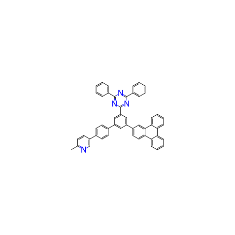 Cc1ccc(-c2ccc(-c3cc(-c4ccc5c6ccccc6c6ccccc6c5c4)cc(-c4nc(-c5ccccc5)nc(-c5ccccc5)n4)c3)cc2)cn1